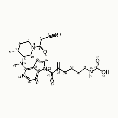 C[C@@H]1CCN(C(=O)CC#N)C[C@@H]1N(C)c1ncnc2c1ccn2C(=O)NCCCCNC(=O)O